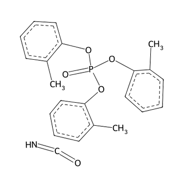 Cc1ccccc1OP(=O)(Oc1ccccc1C)Oc1ccccc1C.N=C=O